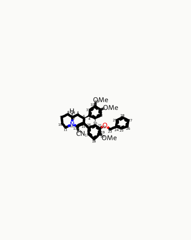 COc1ccc([C@@H]2C[C@@H]3CCCCN3C(C#N)=C2c2ccc(OC)c(OCc3ccccc3)c2)cc1OC